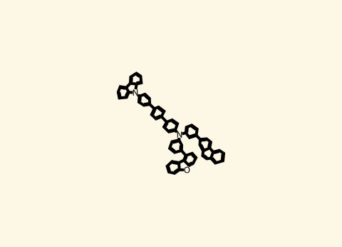 c1cc(-c2ccc3c(ccc4ccccc43)c2)cc(N(c2ccc(-c3ccc(-c4ccc(-n5c6ccccc6c6ccccc65)cc4)cc3)cc2)c2cccc(-c3cccc4oc5ccccc5c34)c2)c1